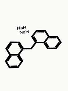 [NaH].[NaH].c1ccc2c(Cc3cccc4ccccc34)cccc2c1